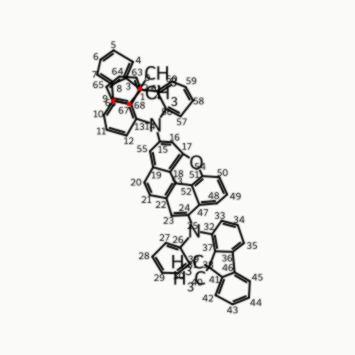 CC1(C)c2ccccc2-c2cccc(N(c3cc4c5c(ccc6cc(N(c7ccccc7)c7cccc8c7C(C)(C)c7ccccc7-8)c7cccc(c7c65)O4)c3)c3ccccc3-c3ccccc3)c21